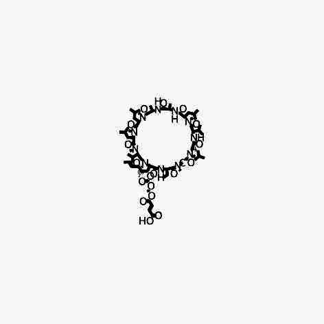 CC=CC[C@@H](C)C(OC(=O)OCOC(=O)C=CC(=O)O)C1C(=O)NC(CC)C(=O)N(C)CC(=O)N(C)[C@@H](CC(C)C)C(=O)NC(C(C)C)C(=O)N(C)C(CC(C)C)C(=O)NC(C)C(=O)NC(C)C(=O)N(C)C(CC(C)C)C(=O)N(C)C(CC(C)C)C(=O)N(C)C(C(C)C)C(=O)N1C